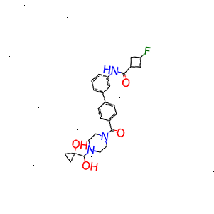 O=C(Nc1cccc(-c2ccc(C(=O)N3CCN(C(O)C4(O)CC4)CC3)cc2)c1)C1CC(F)C1